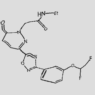 CCNC(=O)Cn1nc(-c2nc(-c3cccc(OC(F)F)c3)no2)ccc1=O